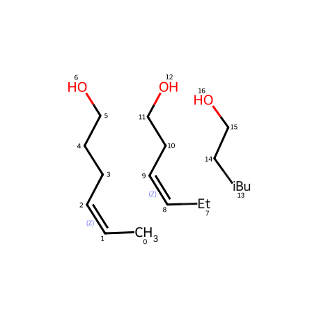 C/C=C\CCCO.CC/C=C\CCO.CCC(C)CCO